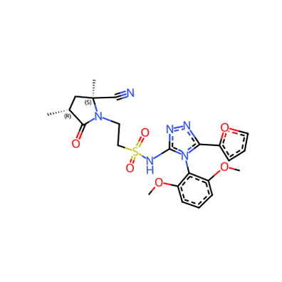 COc1cccc(OC)c1-n1c(NS(=O)(=O)CCN2C(=O)[C@H](C)C[C@@]2(C)C#N)nnc1-c1ccco1